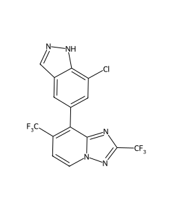 FC(F)(F)c1nc2c(-c3cc(Cl)c4[nH]ncc4c3)c(C(F)(F)F)ccn2n1